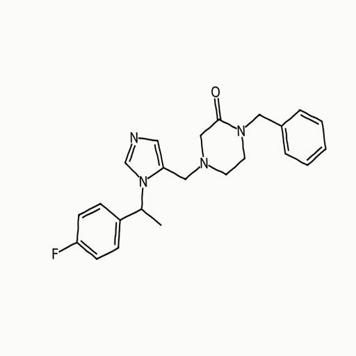 CC(c1ccc(F)cc1)n1cncc1CN1CCN(Cc2ccccc2)C(=O)C1